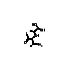 CC(N[C@H](C(=O)I)[C@H](C)N)B(O)O